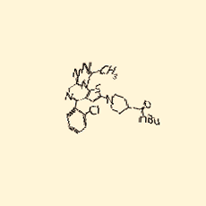 CCCCC(=O)C1CCN(c2cc3c(s2)-n2c(C)nnc2CN=C3c2ccccc2Cl)CC1